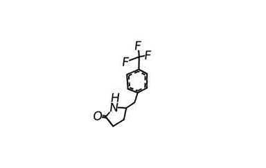 O=C1CCC(Cc2ccc(C(F)(F)F)cc2)N1